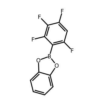 Fc1cc(F)c(B2Oc3ccccc3O2)c(F)c1F